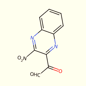 O=CC(=O)c1nc2ccccc2nc1[N+](=O)[O-]